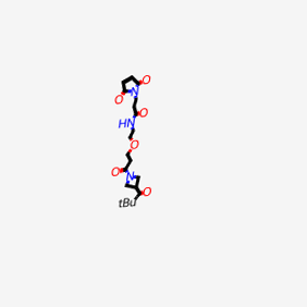 CC(C)(C)C(=O)C1CN(C(=O)CCOCCNC(=O)CCN2C(=O)C=CC2=O)C1